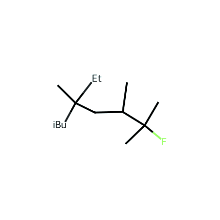 CCC(C)C(C)(CC)CC(C)C(C)(C)F